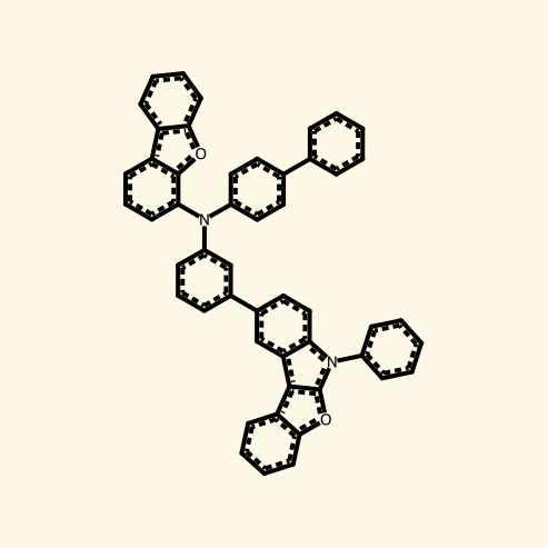 c1ccc(-c2ccc(N(c3cccc(-c4ccc5c(c4)c4c6ccccc6oc4n5-c4ccccc4)c3)c3cccc4c3oc3ccccc34)cc2)cc1